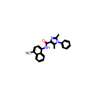 Cc1nc(C(=O)Nc2ccc(C#N)c3ccccc23)c(C)n1-c1ccccc1